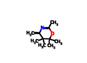 C=C1N=C(C)OC(C)(C)C1(C)C